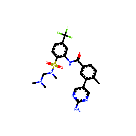 Cc1ccc(C(=O)Nc2cc(C(F)(F)F)ccc2S(=O)(=O)N(C)CN(C)C)cc1-c1cnc(N)nc1